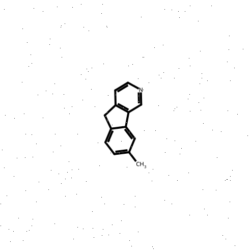 Cc1ccc2c(c1)-c1cnccc1C2